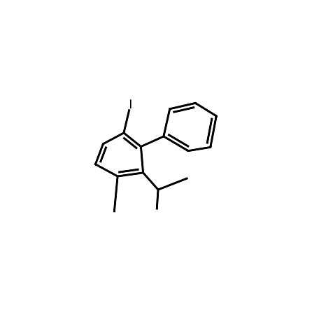 Cc1ccc(I)c(-c2ccccc2)c1C(C)C